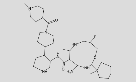 CC1NCC(F)CCC(C2(C)CCCCC2)NC(N)C1C(=O)NC1CNCCC1C1CCN(C(=O)C2CCN(C)CC2)CC1